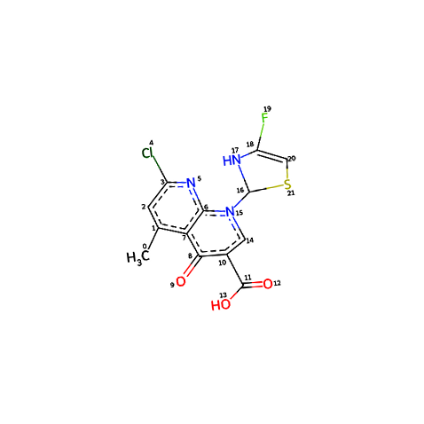 Cc1cc(Cl)nc2c1c(=O)c(C(=O)O)cn2C1NC(F)=CS1